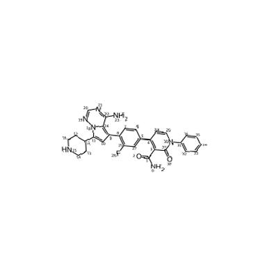 NC(=O)c1c(-c2ccc(-c3cc(C4CCNCC4)n4ncnc(N)c34)c(F)c2)ccn(-c2ccccc2)c1=O